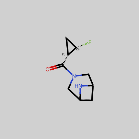 O=C([C@@H]1C[C@@H]1F)N1CC2CC(C1)N2